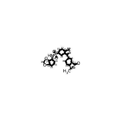 Cn1sc(=O)c2cc(-c3snc4ccc(S(=O)(=O)Nc5cccc6c5OCO6)cc34)ccc21